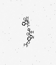 C[C@@H](C[C@H]1C[C@H](NC(=O)c2cnc3cc(OCC(F)F)ccn23)C1)c1n[nH]c(=O)c2ccccc12